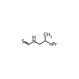 CCCC(C)CN[C]=S